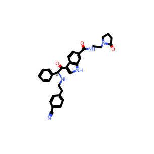 N#Cc1ccc(CCN[C@H](C(=O)c2c[nH]c3cc(C(=O)NCCN4CCCC4=O)ccc23)c2ccccc2)cc1